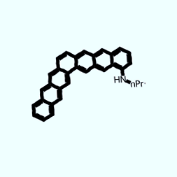 CC[CH]Nc1cccc2cc3cc4ccc5cc6cc7ccccc7cc6cc5c4cc3cc12